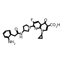 Nc1ccccc1CC(=O)NC1CCN(c2nc3c(cc2F)c(=O)c(C(=O)O)cn3C2CC2)C1